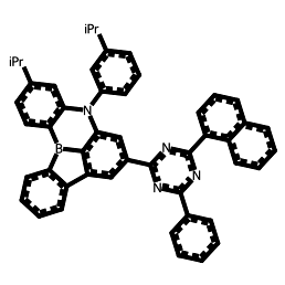 CC(C)c1cccc(N2c3cc(C(C)C)ccc3B3c4ccccc4-c4cc(-c5nc(-c6ccccc6)nc(-c6cccc7ccccc67)n5)cc2c43)c1